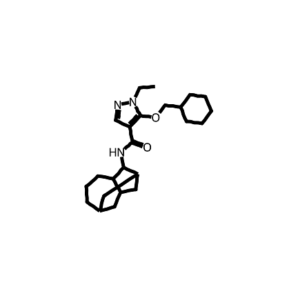 CCn1ncc(C(=O)NC2C3CC4CCCC2C(C4)C3)c1OCC1CCCCC1